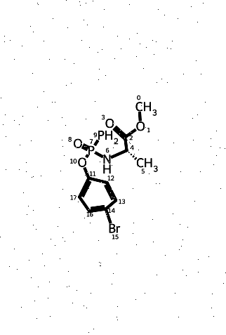 COC(=O)[C@H](C)NP(=O)(P)Oc1ccc(Br)cc1